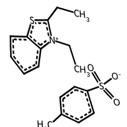 CCc1sc2ccccc2[n+]1CC.Cc1ccc(S(=O)(=O)[O-])cc1